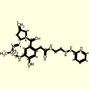 C=C1C[C@@H](/C=N/OC)N(C(=O)c2cc(OC)c(O)cc2CC(=O)OCCSSc2ccccn2)C1